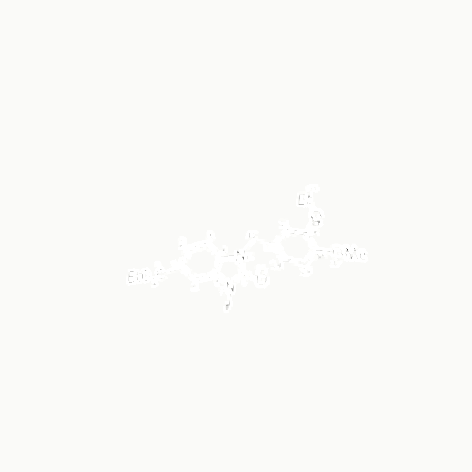 CCOC(=O)c1ccc2c(c1)n(C)c(=O)n2Cc1ccc(OC)c(OCC)c1